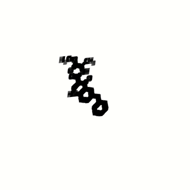 COC(=O)[C@H](C)NC(=O)c1c[nH]c2ccc(Cc3ccccc3)cc2c1=O